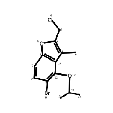 Cc1c(CCl)oc2ccc(Br)c(OC(C)C)c12